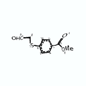 COC(=O)c1ccc(SCC=O)cc1